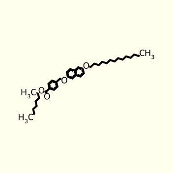 CCCCCCCCCCCCCCOc1ccc2cc(OCc3ccc(C(=O)O[C@H](C)CCCCCC)cc3)ccc2c1